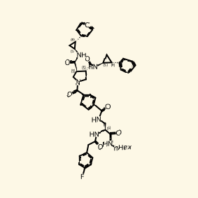 CCCCCCNC(=O)[C@H](CNC(=O)c1ccc(C(=O)N2C[C@@H](C(=O)N[C@H]3C[C@@H]3c3ccccc3)[C@H](C(=O)N[C@H]3C[C@@H]3c3ccccc3)C2)cc1)NC(=O)Cc1ccc(F)cc1